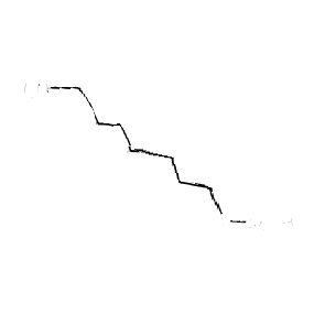 NCCCCCCCSS(=O)(=O)O